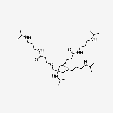 CC(C)NCCCNC(=O)CCOCC(COCCCNC(C)C)(COCCC(=O)NCCCNC(C)C)NC(C)C